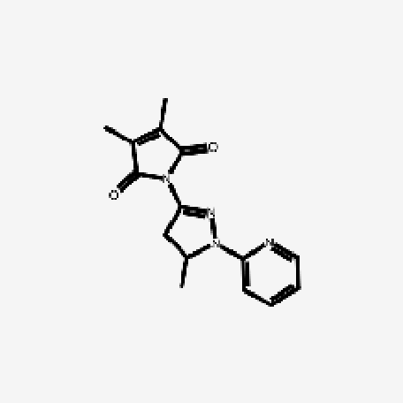 CC1=C(C)C(=O)N(C2=NN(c3ccccn3)C(C)C2)C1=O